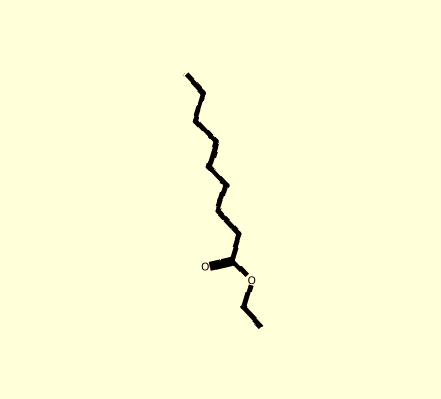 [CH2]CCCCCCCC(=O)OCC